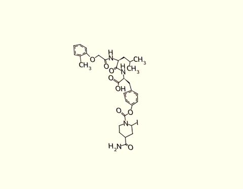 Cc1ccccc1OCC(=O)N[C@@H](CC(C)C)C(=O)N[C@@H](Cc1ccc(OC(=O)N2CCC(C(N)=O)CC2I)cc1)C(=O)O